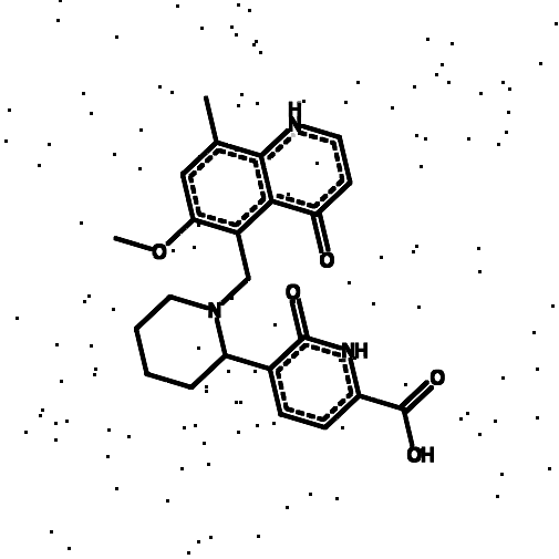 COc1cc(C)c2[nH]ccc(=O)c2c1CN1CCCCC1c1ccc(C(=O)O)[nH]c1=O